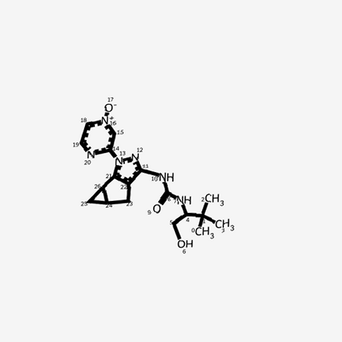 CC(C)(C)C(CO)NC(=O)Nc1nn(-c2c[n+]([O-])ccn2)c2c1CC1CC21